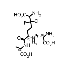 CC(C)[C@H](N)C(=O)O.C[C@H](NC(=O)[C@@H](N)CCC(F)(Cl)C(N)C(=O)O)C(=O)O